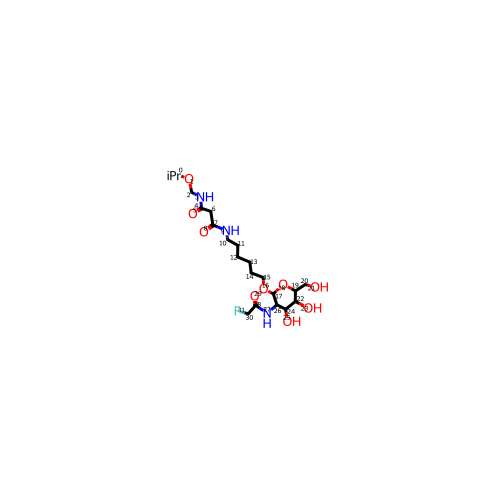 CC(C)OCNC(=O)CC(=O)NCCCCCCOC1OC(CO)C(O)C(O)C1NC(=O)CF